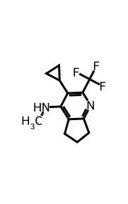 CNc1c2c(nc(C(F)(F)F)c1C1CC1)CCC2